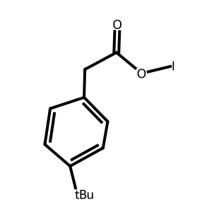 CC(C)(C)c1ccc(CC(=O)OI)cc1